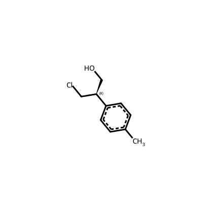 Cc1ccc([C@H](CO)CCl)cc1